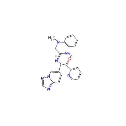 CN(C/C(N)=N/C(C(=O)c1ccccn1)c1ccc2ncnn2c1)c1ccccc1